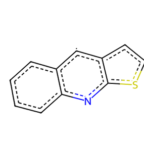 [c]1c2ccccc2nc2sccc12